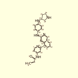 C=CC(=O)Nc1ccnc(-c2cccc3cnc(Nc4ccc(NC5CCNC5)cc4)nc23)c1